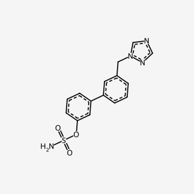 NS(=O)(=O)Oc1cccc(-c2cccc(Cn3cncn3)c2)c1